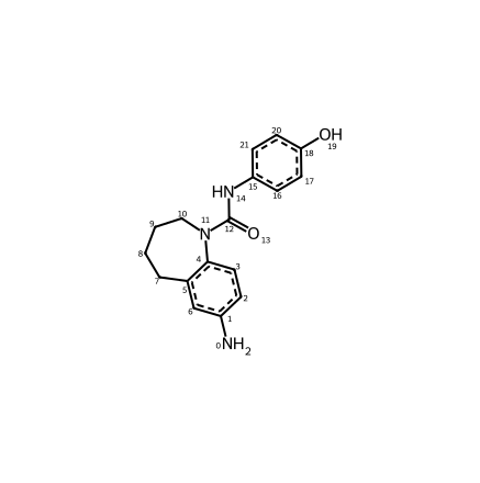 Nc1ccc2c(c1)CCCCN2C(=O)Nc1ccc(O)cc1